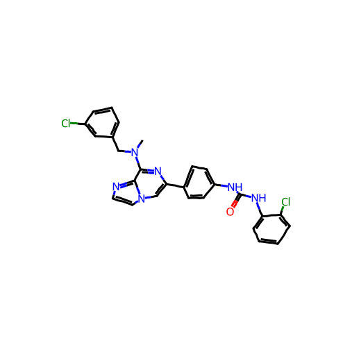 CN(Cc1cccc(Cl)c1)c1nc(-c2ccc(NC(=O)Nc3ccccc3Cl)cc2)cn2ccnc12